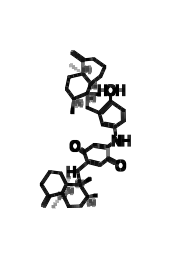 C=C1CCC[C@H]2[C@](C)(CC3=CC(=O)C(Nc4ccc(O)c(C[C@]5(C)[C@@H](C)CC[C@@]6(C)C(=C)CCC[C@@H]56)c4)=CC3=O)[C@@H](C)CC[C@@]12C